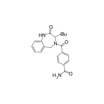 CCC(C)C1C(=O)Nc2ccccc2CN1C(=O)c1ccc(C(N)=O)cc1